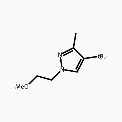 COCCn1cc(C(C)(C)C)c(C)n1